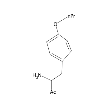 CCCOc1ccc(CC(N)C(C)=O)cc1